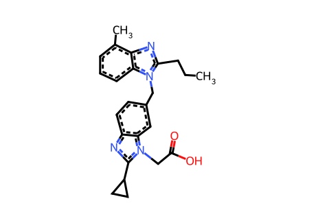 CCCc1nc2c(C)cccc2n1Cc1ccc2nc(C3CC3)n(CC(=O)O)c2c1